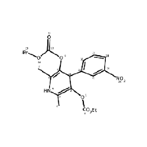 CCOC(=O)OC1=C(C)NC(C)=C(OC(=O)OC(C)C)C1c1cccc([N+](=O)[O-])c1